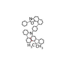 CC1(C)c2ccccc2-c2cc(N(c3ccc(-c4cccc5ccc6nc(-c7ccccc7)oc6c45)cc3)c3ccccc3-c3ccccc3)ccc21